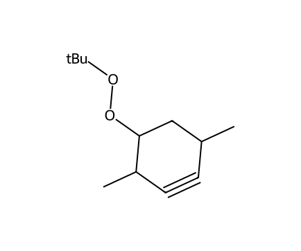 CC1C#CC(C)C(OOC(C)(C)C)C1